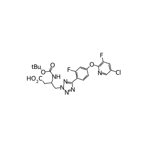 CC(C)(C)OC(=O)NC(CC(=O)O)Cn1nnc(-c2ccc(Oc3ncc(Cl)cc3F)cc2F)n1